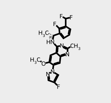 COc1cc2c(N[C@H](C)c3cccc(C(F)F)c3F)nc(C)nc2cc1-n1cc(F)cn1